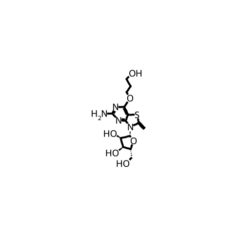 C=C1Sc2c(OCCCO)nc(N)nc2N1[C@@H]1O[C@H](CO)[C@@H](O)[C@H]1O